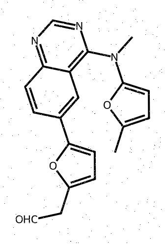 Cc1ccc(N(C)c2ncnc3ccc(-c4ccc(CC=O)o4)cc23)o1